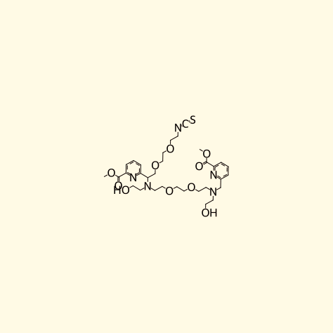 COC(=O)c1cccc(CN(CCO)CCOCCOCCN(CCO)C(COCCOCCN=C=S)c2cccc(C(=O)OC)n2)n1